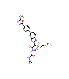 COCCS(=O)(=O)C(C(=O)NCC(=O)NC1CC1)c1nc2ccc(-c3ccc(-c4nnc(C)o4)cc3)cc2s1